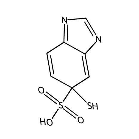 O=S(=O)(O)C1(S)C=CC2=NC=NC2=C1